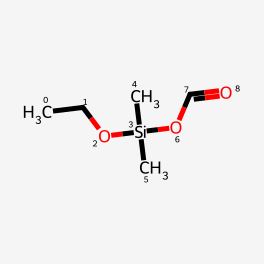 CCO[Si](C)(C)OC=O